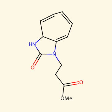 COC(=O)CCN1C(=O)NC2C=CC=CC=C21